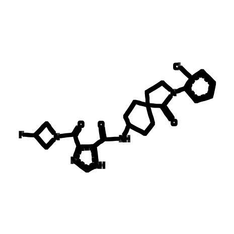 O=C(NC1CCC2(CC1)CCN(c1ccccc1Cl)C2=O)c1[nH]cnc1C(=O)N1CC(F)C1